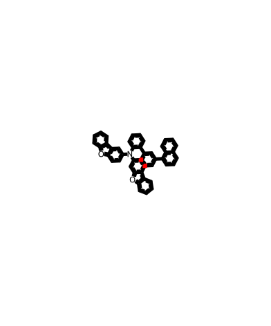 c1cc(-c2ccccc2N(c2ccc3c(c2)oc2ccccc23)c2ccc3oc4ccccc4c3c2)cc(-c2cccc3ccccc23)c1